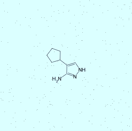 Nc1n[nH]cc1C1CCCC1